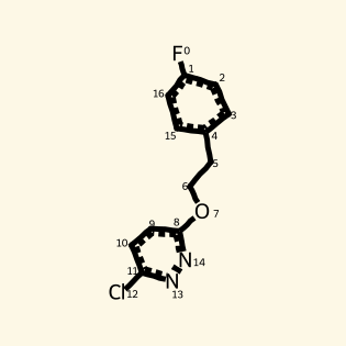 Fc1ccc(CCOc2ccc(Cl)nn2)cc1